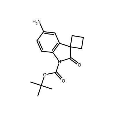 CC(C)(C)OC(=O)N1C(=O)C2(CCC2)c2cc(N)ccc21